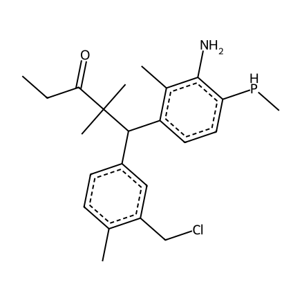 CCC(=O)C(C)(C)C(c1ccc(C)c(CCl)c1)c1ccc(PC)c(N)c1C